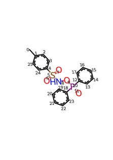 Cc1ccc(S(=O)(=O)NOP(=O)(c2ccccc2)c2ccccc2)cc1